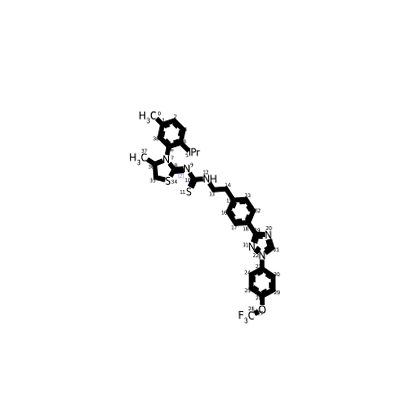 Cc1ccc(C(C)C)c(N2/C(=N/C(=S)NCCc3ccc(-c4ncn(-c5ccc(OC(F)(F)F)cc5)n4)cc3)SCC2C)c1